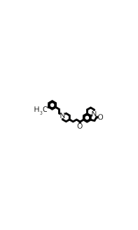 Cc1cccc(CCN2CCC(CCC(=O)c3cc4c5c(c3)CC(=O)N5CCC4)CC2)c1